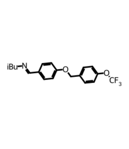 CCC(C)N=Cc1ccc(OCc2ccc(OC(F)(F)F)cc2)cc1